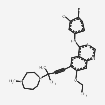 CCOc1cc2ncnc(Nc3ccc(F)c(Cl)c3)c2cc1C#CC(C)(C)N1CCCN(C)CC1